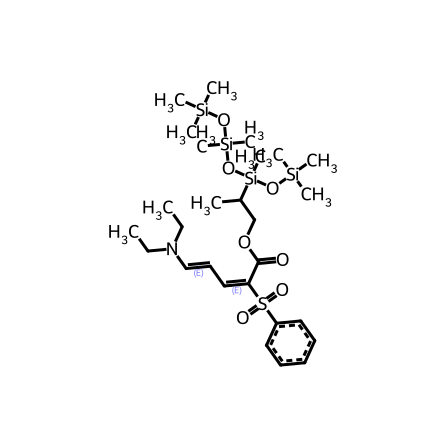 CCN(/C=C/C=C(\C(=O)OCC(C)[Si](C)(O[Si](C)(C)C)O[Si](C)(C)O[Si](C)(C)C)S(=O)(=O)c1ccccc1)CC